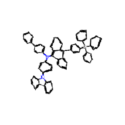 c1ccc(-c2ccc(N(c3ccc(-n4c5ccccc5c5ccccc54)cc3)c3c4ccccc4c(-c4ccc([Si](c5ccccc5)(c5ccccc5)c5ccccc5)cc4)c4ccccc34)cc2)cc1